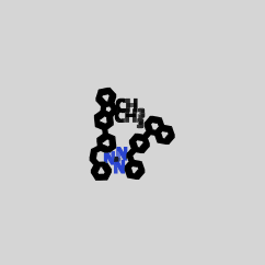 CC1(C)c2ccccc2-c2ccc(-c3ccc4c(c3)C=Cc3ccccc3N4c3nc(-c4ccc(-c5cccc6ccccc56)cc4)c4ccccc4n3)cc21